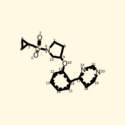 O=S(=O)(C1CC1)N1CCC(Oc2ccccc2-c2ccncn2)C1